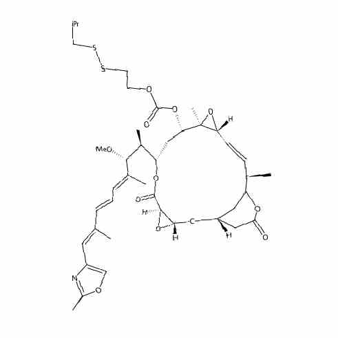 CO[C@@H](/C(C)=C/C=C/C(C)=C/c1coc(C)n1)[C@@H](C)[C@@H]1C[C@H](OC(=O)OCCSSCC(C)C)[C@@]2(C)O[C@@H]2/C=C/[C@@H](C)C2C[C@H](CC(=O)O2)C[C@@H]2O[C@H]2C(=O)O1